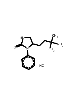 CC(C)(N)CCC1CNC(=O)N1c1ccccc1.Cl